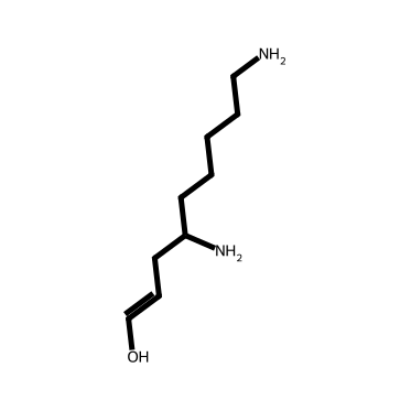 NCCCCCC(N)CC=CO